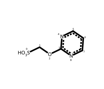 O=S(=O)(O)COc1ncccn1